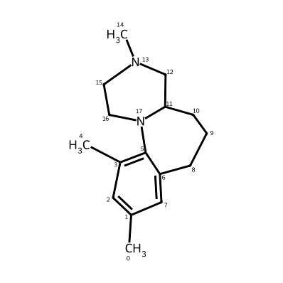 Cc1cc(C)c2c(c1)CCCC1CN(C)CCN21